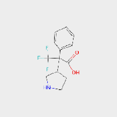 O=C(O)C(c1ccccc1)(C1CCNC1)C(F)(F)F